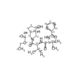 CCOC(=O)[C@@H]1[C@H]2CCC(O)[C@H]2CN1C(=O)[C@@H](NC(=O)[C@H](NC(=O)c1cnccn1)C(C)C)C(C)C